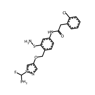 NSc1cc(NC(=O)Cc2ccccc2Cl)ccc1COc1cnn(C(F)P)c1